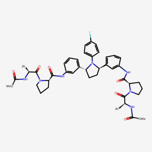 COC(=O)N[C@H](C(=O)N1CCC[C@@H]1C(=O)Nc1cccc([C@H]2CC[C@H](c3cccc(NC(=O)[C@H]4CCCN4C(=O)[C@@H](NC(=O)OC)C(C)C)c3)N2c2ccc(F)cc2)c1)C(C)C